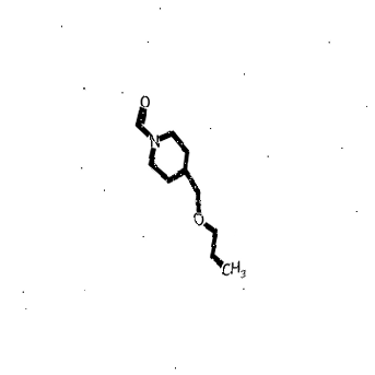 CCCOCC1CCN(C=O)CC1